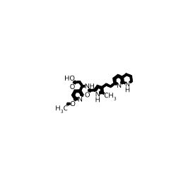 CCOc1ccc(C(CC(=O)O)NC(=O)c2cc(CCc3ccc4c(n3)NCCC4)c(C)[nH]2)cn1